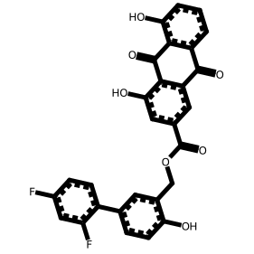 O=C(OCc1cc(-c2ccc(F)cc2F)ccc1O)c1cc(O)c2c(c1)C(=O)c1cccc(O)c1C2=O